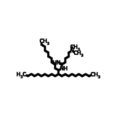 CCCCCCCCCCC(CCCCCCCCCC)C(CCCCCCCCCC)NC(=N)CCCCN(C)C